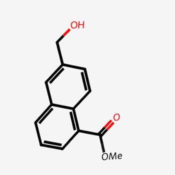 COC(=O)c1cccc2cc(CO)ccc12